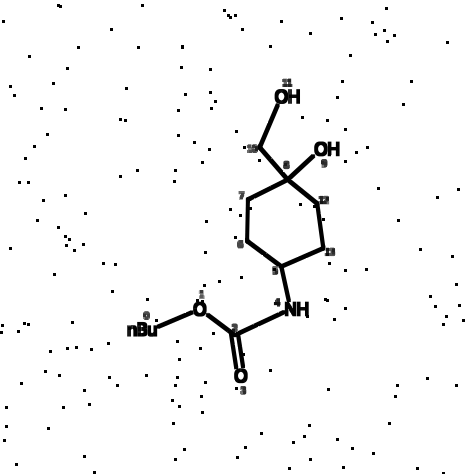 CCCCOC(=O)NC1CCC(O)(CO)CC1